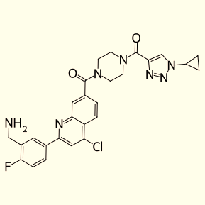 NCc1cc(-c2cc(Cl)c3ccc(C(=O)N4CCN(C(=O)c5cn(C6CC6)nn5)CC4)cc3n2)ccc1F